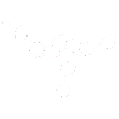 Cc1ccc(-c2cccc(-c3ccc4c5c3Oc3cc(-c6ccccc6)ccc3P5(=O)c3ccc(-c5ccccc5)cc3O4)c2)cn1